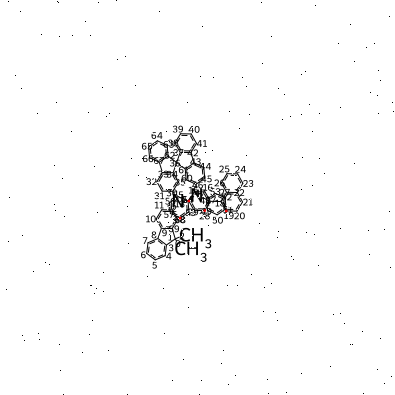 CC1(C)c2ccccc2-c2ccc(N(c3ccc(-c4cccc5ccccc45)cc3)c3ccc4c(c3)C3(c5ccccc5-c5ccc(N(c6ccccc6)c6ccccc6)cc53)c3ccccc3-4)cc21